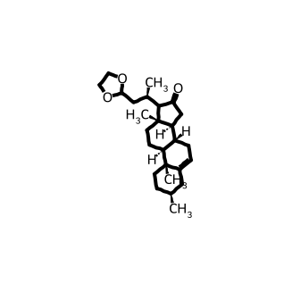 C[C@H]1CC[C@@]2(C)C(=CC[C@@H]3[C@@H]2CC[C@]2(C)C([C@H](C)CC4OCCO4)C(=O)C[C@@H]32)C1